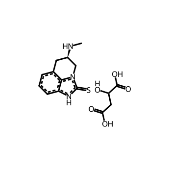 CN[C@@H]1Cc2cccc3[nH]c(=S)n(c23)C1.O=C(O)CC(O)C(=O)O